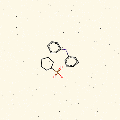 O=S(=O)([O-])C1CCCCC1.c1ccc([I+]c2ccccc2)cc1